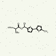 CCCCCCC(CCCC)C(=O)OC(CC)c1ccc(-c2ccc(C)s2)s1